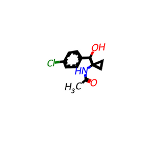 CC(=O)NC1(C(O)c2ccc(Cl)cc2)CC1